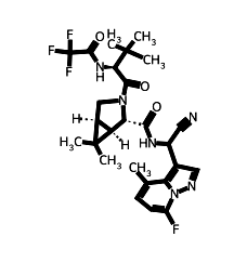 Cc1ccc(F)n2ncc(C(C#N)NC(=O)[C@@H]3[C@@H]4[C@H](CN3C(=O)[C@@H](NC(=O)C(F)(F)F)C(C)(C)C)C4(C)C)c12